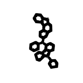 c1ccc(N(c2ccc3c(ccc4sc5ccccc5c43)c2)c2cccc3c2c2ccccc2n3-c2ccccc2)cc1